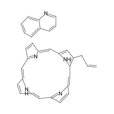 C=CCc1cc2cc3nc(cc4ccc(cc5nc(cc1[nH]2)C=C5)[nH]4)C=C3.c1ccc2ncccc2c1